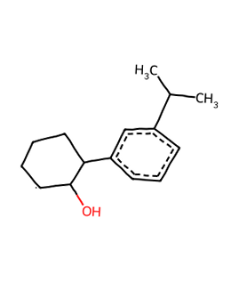 CC(C)c1cccc(C2CCC[CH]C2O)c1